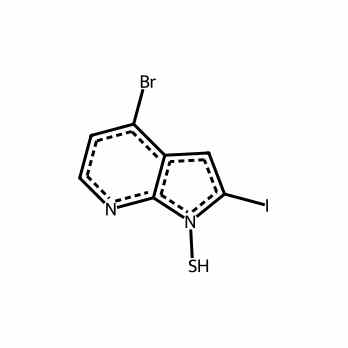 Sn1c(I)cc2c(Br)ccnc21